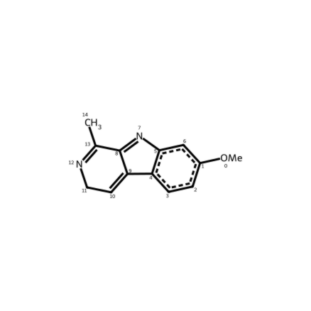 COc1ccc2c(c1)N=C1C2=CCN=C1C